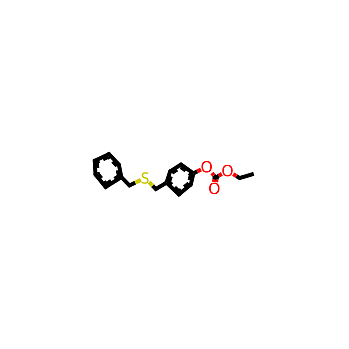 CCOC(=O)Oc1ccc(CSCc2ccccc2)cc1